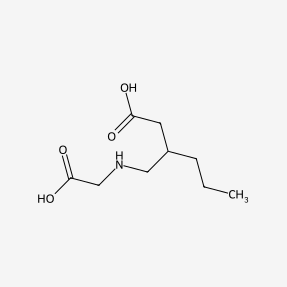 CCCC(CNCC(=O)O)CC(=O)O